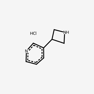 Cl.c1cncc(C2CNC2)c1